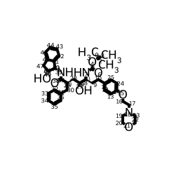 CC(C)(C)OC(=O)N[C@@H](CCc1ccc(OCCN2CCOCC2)cc1)[C@@H](O)C[C@@H](Cc1ccccc1)C(=O)N[C@H]1c2ccccc2C[C@H]1O